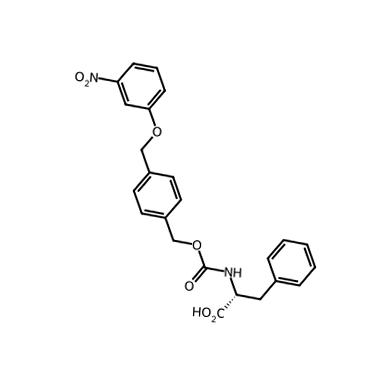 O=C(N[C@H](Cc1ccccc1)C(=O)O)OCc1ccc(COc2cccc([N+](=O)[O-])c2)cc1